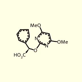 COc1cc(OC)nc(O[C@@H](C(=O)O)c2ccccc2)n1